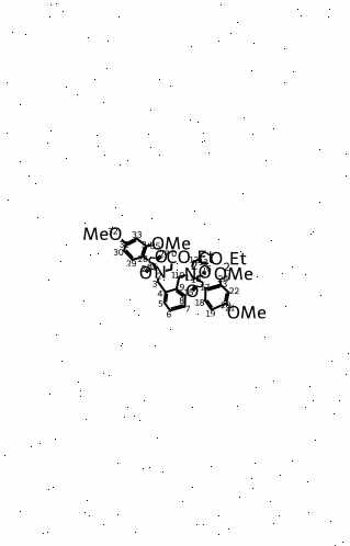 CCOC(=O)CN(Cc1ccccc1CN(CC(=O)OCC)S(=O)(=O)c1ccc(OC)cc1OC)S(=O)(=O)c1ccc(OC)cc1OC